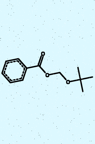 CC(C)(C)OCOC(=O)c1ccccc1